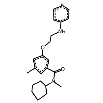 Cc1cc(OCCNc2ccncc2)cc(C(=O)N(C)C2CCCCC2)c1